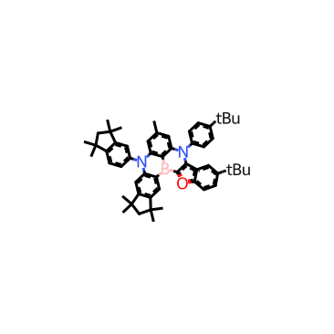 Cc1cc2c3c(c1)N(c1ccc(C(C)(C)C)cc1)c1c(oc4ccc(C(C)(C)C)cc14)B3c1cc3c(cc1N2c1ccc2c(c1)C(C)(C)CC2(C)C)C(C)(C)CC3(C)C